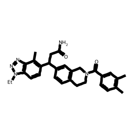 CCn1nnc2c(C)c(C(CC(N)=O)c3ccc4c(c3)CN(C(=O)c3ccc(C)c(C)c3)CC4)ccc21